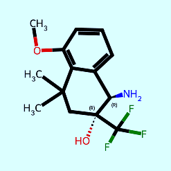 COc1cccc2c1C(C)(C)C[C@](O)(C(F)(F)F)[C@@H]2N